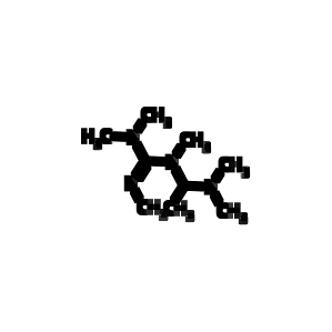 CN=C(N(C)C)N(C)C(C)N(C)C